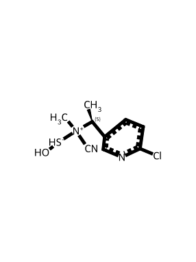 C[C@@H](c1ccc(Cl)nc1)[N+](C)(C#N)[SH-]O